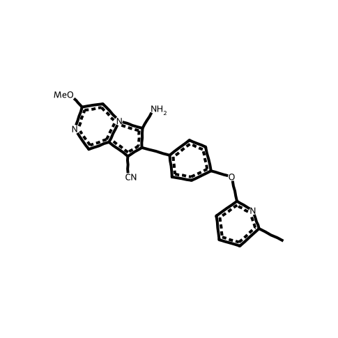 COc1cn2c(N)c(-c3ccc(Oc4cccc(C)n4)cc3)c(C#N)c2cn1